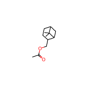 CC(=O)OCC1CCC2CC1C2(C)C